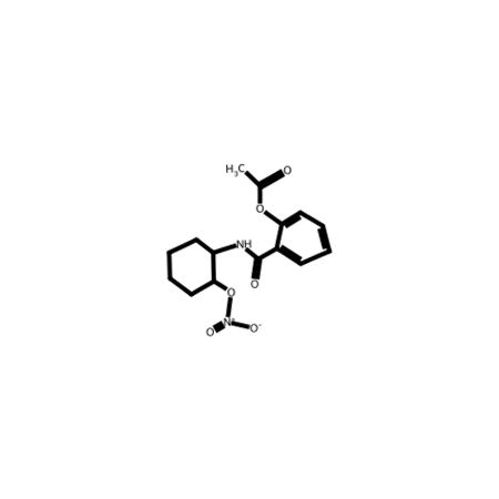 CC(=O)Oc1ccccc1C(=O)NC1CCCCC1O[N+](=O)[O-]